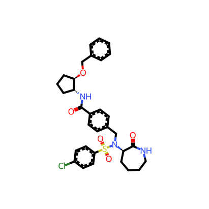 O=C(N[C@@H]1CCC[C@H]1OCc1ccccc1)c1ccc(CN([C@@H]2CCCCNC2=O)S(=O)(=O)c2ccc(Cl)cc2)cc1